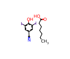 CCCCCCC(=O)O.N#Cc1cc(I)c(O)c(I)c1